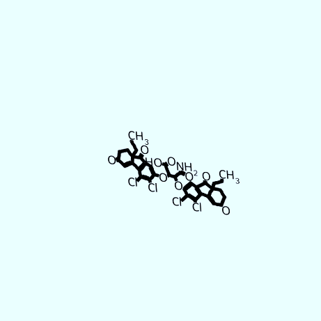 CCCC12CCC(=O)C=C1c1c(cc(OC(C(N)=O)C(Oc3cc4c(c(Cl)c3Cl)C3=CC(=O)CCC3(CCC)C4=O)C(=O)O)c(Cl)c1Cl)C2=O